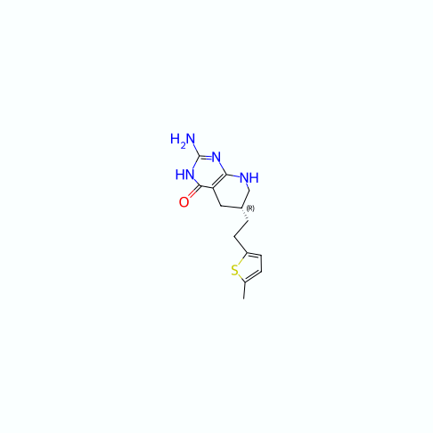 Cc1ccc(CC[C@H]2CNc3nc(N)[nH]c(=O)c3C2)s1